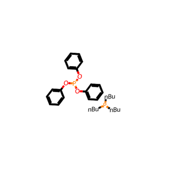 CCCCP(CCCC)CCCC.c1ccc(OP(Oc2ccccc2)Oc2ccccc2)cc1